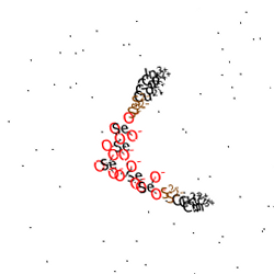 O=[Se]([O-])[O-].O=[Se]([O-])[O-].O=[Se]([O-])[O-].O=[Se]([O-])[O-].O=[Se]([O-])[O-].[Cd+2].[Cd+2].[Cd+2].[Cd+2].[Cd+2].[Cu+2].[Cu+2].[In+3].[In+3].[S-2].[S-2].[S-2].[S-2].[S-2]